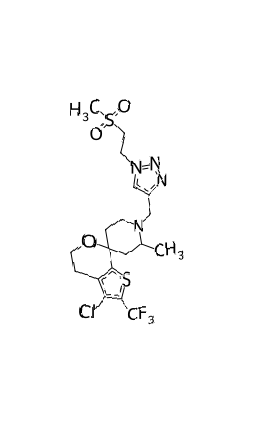 CC1CC2(CCN1Cc1cn(CCS(C)(=O)=O)nn1)OCCc1c2sc(C(F)(F)F)c1Cl